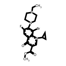 CCN1CCN(c2c(F)cc3c(=O)c(C(=O)OC)cn(C4CC4)c3c2Br)CC1